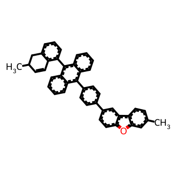 Cc1ccc2c(c1)oc1ccc(-c3ccc(-c4c5ccccc5c(-c5cccc6c5C=CC(C)C6)c5ccccc45)cc3)cc12